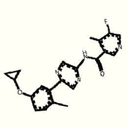 Cc1ccc(OC2CC2)cc1-c1cnc(NC(=O)c2cncc(F)c2C)cn1